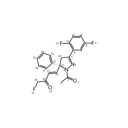 CC(=O)N1N=C(c2cc(F)ccc2F)C[C@@]1(/C=C/C(=O)CF)c1ccccc1